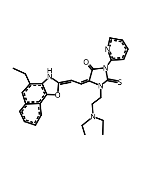 CCc1cc2ccccc2c2c1NC(=CC=C1C(=O)N(c3ccccn3)C(=S)N1CCN(CC)CC)O2